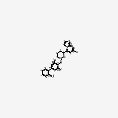 Cc1cc(C2CCCN(Cc3c(F)cc(-c4ccccc4Cl)cc3F)C2)n2ncnc2n1